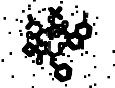 CC(C)C[C@@H](C(=O)N(C)C1(C(=O)N[C@@H](COc2cnc3ccc(F)cc3c2C(=O)O)Cc2ccccc2)CCC1)N(C)C(=O)OC(C)(C)C